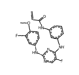 C=CC(=O)Nc1cccc(Nc2nc(Nc3ccc(OC)c(F)c3)ncc2F)c1